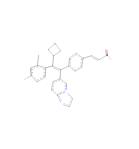 Cc1cc(F)ccc1C(=C(c1ccc(C=CC(=O)O)cc1)c1ccc2nccn2c1)C1CCC1